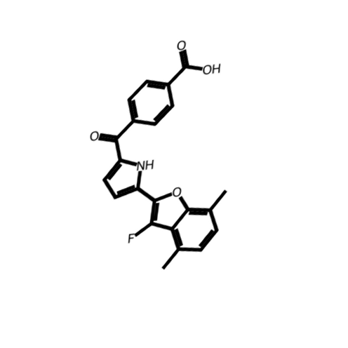 Cc1ccc(C)c2c(F)c(-c3ccc(C(=O)c4ccc(C(=O)O)cc4)[nH]3)oc12